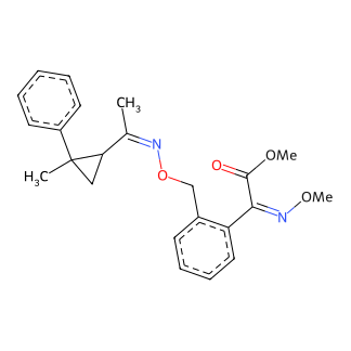 CO/N=C(\C(=O)OC)c1ccccc1CO/N=C(/C)C1CC1(C)c1ccccc1